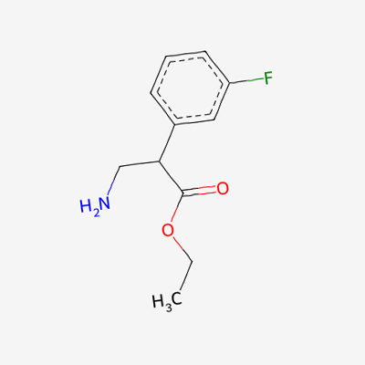 CCOC(=O)C(CN)c1cccc(F)c1